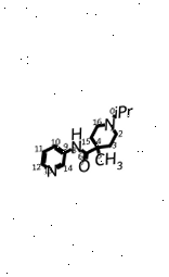 CC(C)N1CCC(C)(C(=O)Nc2cccnc2)CC1